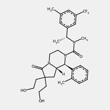 Cc1cc([C@@H](C)N(C)C(=O)N2CCN3C(=O)C(CCO)(CCO)C[C@H]3[C@@H]2c2ccccc2C)cc(C(F)(F)F)c1